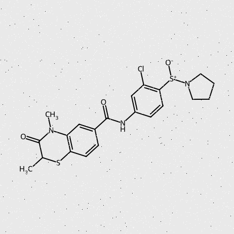 CC1Sc2ccc(C(=O)Nc3ccc([S+]([O-])N4CCCC4)c(Cl)c3)cc2N(C)C1=O